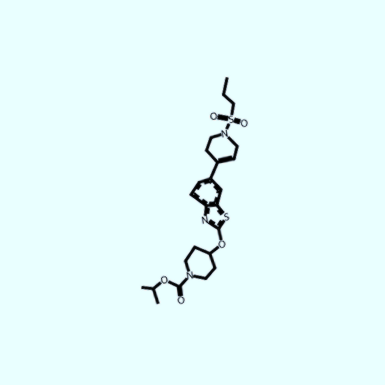 CCCS(=O)(=O)N1CC=C(c2ccc3nc(OC4CCN(C(=O)OC(C)C)CC4)sc3c2)CC1